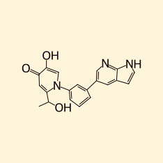 CC(O)c1cc(=O)c(O)cn1-c1cccc(-c2cnc3[nH]ccc3c2)c1